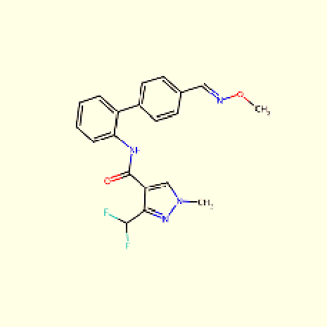 CO/N=C/c1ccc(-c2ccccc2NC(=O)c2cn(C)nc2C(F)F)cc1